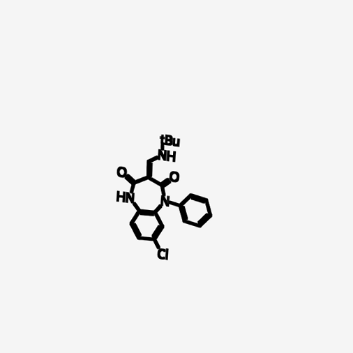 CC(C)(C)NC=C1C(=O)Nc2ccc(Cl)cc2N(c2ccccc2)C1=O